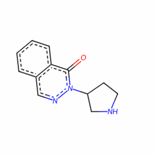 O=c1c2ccccc2cnn1C1CCNC1